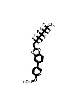 CCCCCCCCOc1ccc(-c2ccc3c(c2)OC(CC(F)(F)C(F)(F)C(F)(F)C(F)(F)C(F)(F)C(F)(F)F)O3)cn1